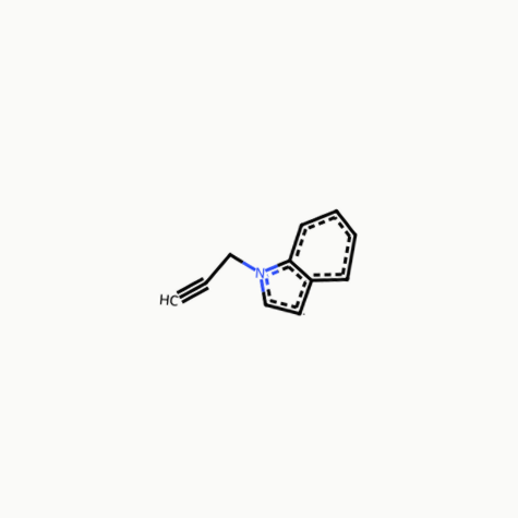 C#CCn1c[c]c2ccccc21